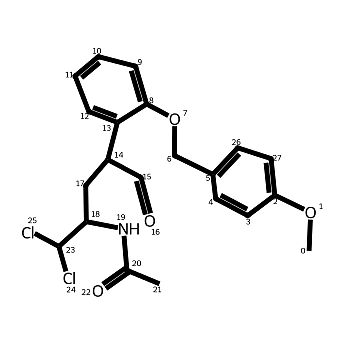 COc1ccc(COc2ccccc2C(C=O)CC(NC(C)=O)C(Cl)Cl)cc1